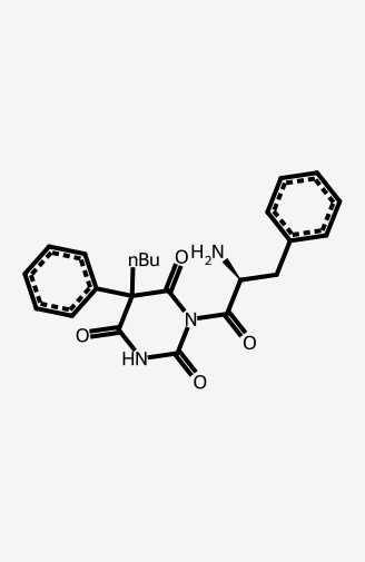 CCCCC1(c2ccccc2)C(=O)NC(=O)N(C(=O)[C@@H](N)Cc2ccccc2)C1=O